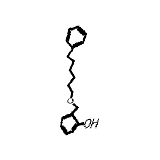 Oc1ccccc1COCCCCCCc1ccccc1